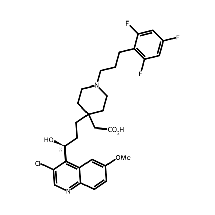 COc1ccc2ncc(Cl)c([C@@H](O)CCC3(CC(=O)O)CCN(CCCc4c(F)cc(F)cc4F)CC3)c2c1